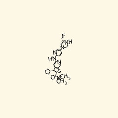 CN(C)C(=O)c1sc2cnc(Nc3ccc(N4CCN[C@@H](CF)C4)cn3)cc2c1C1CCCC1